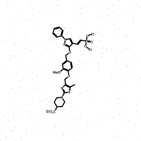 CCOC(=O)C1CCN(c2nc(COc3ccc(COc4nn(-c5ccccc5)cc4C=CP(=O)(OCC)OCC)cc3OC)c(C)s2)CC1